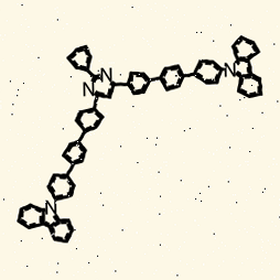 c1ccc(-c2nc(-c3ccc(-c4ccc(-c5ccc(-n6c7ccccc7c7ccccc76)cc5)cc4)cc3)cc(-c3ccc(-c4ccc(-c5ccc(-n6c7ccccc7c7ccccc76)cc5)cc4)cc3)n2)cc1